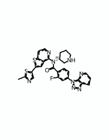 Cc1ncc(-c2cc3c(N(C(=O)c4ccc(-n5nnc6cccnc65)cc4F)[C@@H]4CCCNC4)nccc3s2)s1